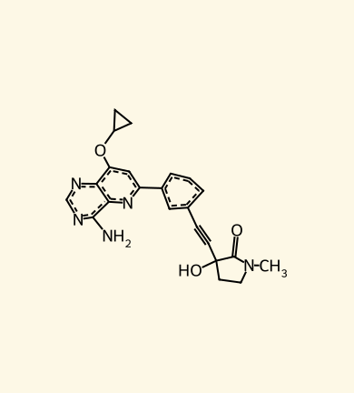 CN1CCC(O)(C#Cc2cccc(-c3cc(OC4CC4)c4ncnc(N)c4n3)c2)C1=O